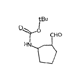 CC(C)(C)OC(=O)NC1CCCC1C=O